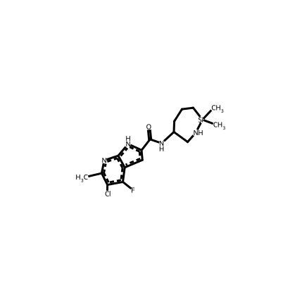 Cc1nc2[nH]c(C(=O)NC3CCC[Si](C)(C)NC3)cc2c(F)c1Cl